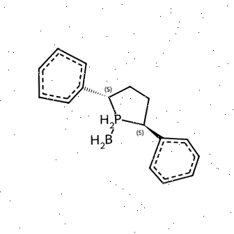 B[PH2]1[C@H](c2ccccc2)CC[C@H]1c1ccccc1